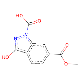 COC(=O)c1ccc2c(O)nn(C(=O)O)c2c1